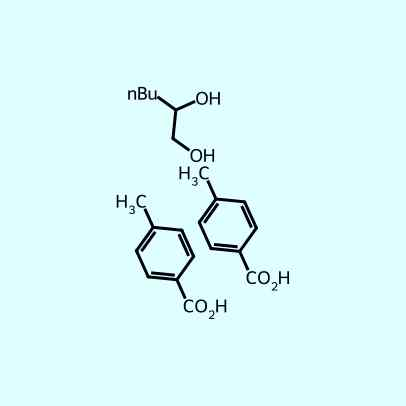 CCCCC(O)CO.Cc1ccc(C(=O)O)cc1.Cc1ccc(C(=O)O)cc1